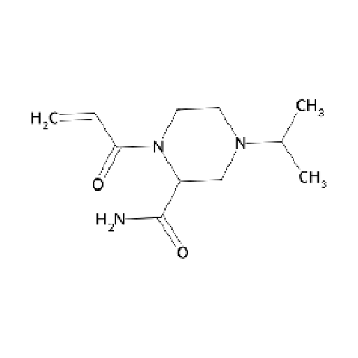 C=CC(=O)N1CCN(C(C)C)CC1C(N)=O